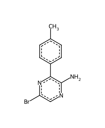 Cc1ccc(-c2nc(Br)cnc2N)cc1